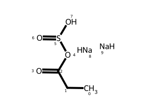 CCC(=O)OS(=O)O.[NaH].[NaH]